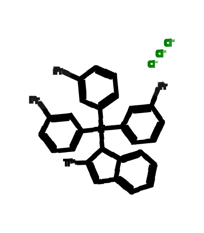 CC(C)c1cccc([Si](c2cccc(C(C)C)c2)(c2cccc(C(C)C)c2)C2[C]([Ti+3])=Cc3ccccc32)c1.[Cl-].[Cl-].[Cl-]